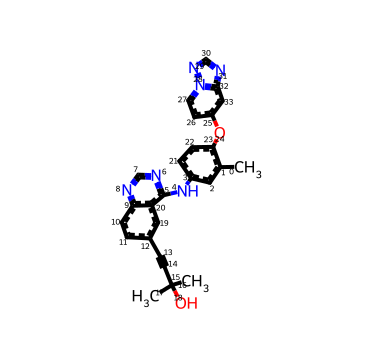 Cc1cc(Nc2ncnc3ccc(C#CC(C)(C)O)cc23)ccc1Oc1ccn2ncnc2c1